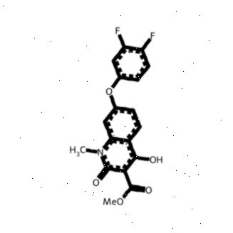 COC(=O)c1c(O)c2ccc(Oc3ccc(F)c(F)c3)cc2n(C)c1=O